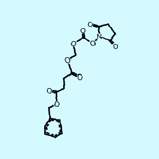 O=C(CCC(=O)OCc1ccccc1)OCOC(=O)ON1C(=O)CCC1=O